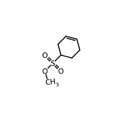 COS(=O)(=O)C1CC=CCC1